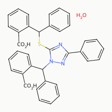 O.O=C(O)c1ccccc1C(Sc1nc(-c2ccccc2)nn1C(c1ccccc1)c1ccccc1C(=O)O)c1ccccc1